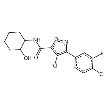 O=C(NC1CCCCC1O)c1onc(-c2ccc(Cl)c(F)c2)c1Cl